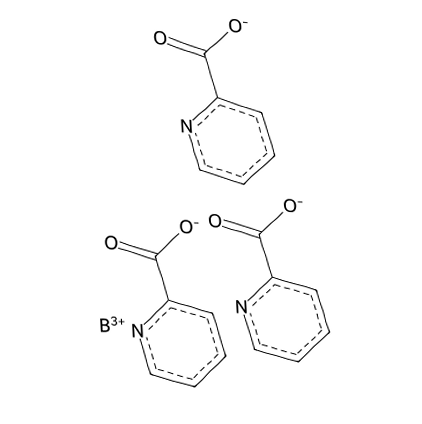 O=C([O-])c1ccccn1.O=C([O-])c1ccccn1.O=C([O-])c1ccccn1.[B+3]